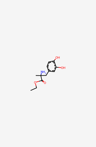 CCOC(=O)C(C)(N)Cc1ccc(O)c(O)c1